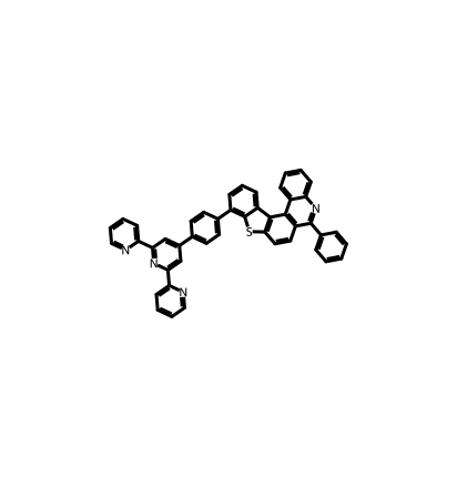 c1ccc(-c2nc3ccccc3c3c2ccc2sc4c(-c5ccc(-c6cc(-c7ccccn7)nc(-c7ccccn7)c6)cc5)cccc4c23)cc1